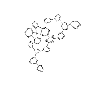 C1=CC(c2cc(-c3ccccc3)cc(-c3cccc(-c4ccccc4)c3)c2)CC(c2nc(-c3cccc(-c4cc(-c5ccccc5)cc(-c5cccc(-c6ccccc6)c5)c4)c3)nc(-c3ccc4c(c3)C3(c5ccccc5-c5ccccc53)c3ccccc3-4)n2)=C1